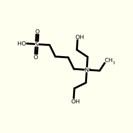 CC[N+](CCO)(CCO)CCCCS(=O)(=O)O